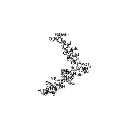 CCC(C)Nc1c([N+](=O)[O-])cc(C(C)(C)C)cc1[N+](=O)[O-].CCC(C)n1c(=O)[nH]c(C)c(Br)c1=O.CCCCOCN(C(=O)CCl)c1c(CC)cccc1CC.CCSC(=O)N(CC(C)C)CC(C)C.CN1CC(O)N(c2nnc(C(C)(C)C)s2)C1=O.COC(=O)c1cc(Oc2ccc(Cl)cc2Cl)ccc1[N+](=O)[O-].C[As](C)(=O)O.N#Cc1cc(Br)c(O)c(Br)c1